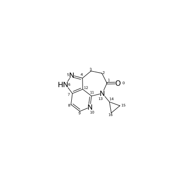 O=C1CCc2n[nH]c3ccnc(c23)N1C1CC1